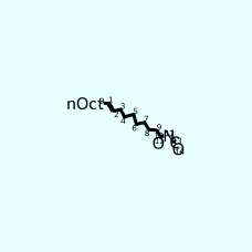 CCCCCCCCC=CCCCCCCCC(=O)N=C=O